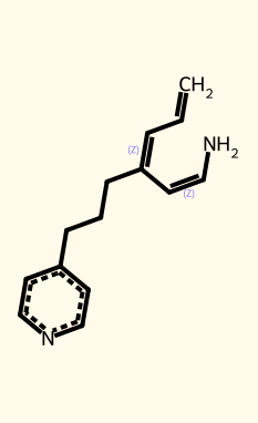 C=C/C=C(\C=C/N)CCCc1ccncc1